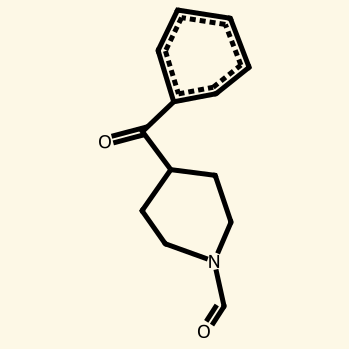 O=CN1CCC(C(=O)c2ccccc2)CC1